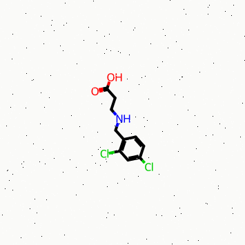 O=C(O)CCNCc1ccc(Cl)cc1Cl